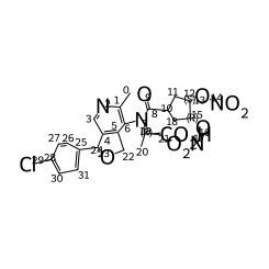 Cc1ncc2c(c1N(C(=O)C1C[C@H](O[N+](=O)[O-])[C@H](O[N+](=O)[O-])C1)[C@H](C)C(=O)O)COC2c1ccc(Cl)cc1